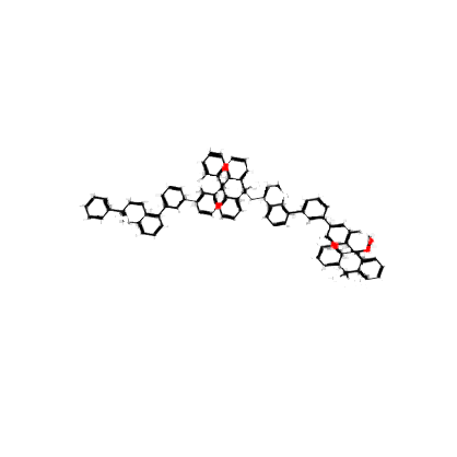 CC1(C)c2ccccc2C2(c3ccccc3Oc3cc(-c4cccc(-c5cccc6c(CC7(C)c8ccccc8C8(c9ccccc9Sc9c(-c%10cccc(-c%11cccc%12nc(-c%13ccccc%13)ccc%11%12)c%10)cccc98)c8ccccc87)ccnc56)c4)ccc32)c2ccccc21